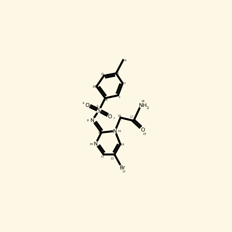 Cc1ccc(S(=O)(=O)N=c2ncc(Br)cn2CC(N)=O)cc1